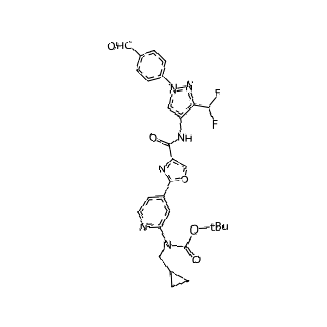 CC(C)(C)OC(=O)N(CC1CC1)c1cc(-c2nc(C(=O)Nc3cn(-c4ccc(C=O)cc4)nc3C(F)F)co2)ccn1